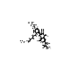 COCCCCCc1nc(OCC(F)(F)F)ccc1C(=O)NC(C)c1cc(C)nc(NC(=O)C(C)C)c1